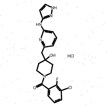 Cl.O=C(c1cccc(Cl)c1F)N1CCC(O)(Cc2cccc(Nc3cc[nH]n3)n2)CC1